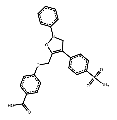 NS(=O)(=O)c1ccc(C2=C(COc3ccc(C(=O)O)cc3)ON(c3ccccc3)C2)cc1